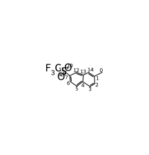 Cc1ccc2ccc(S(=O)(=O)C(F)(F)F)cc2c1